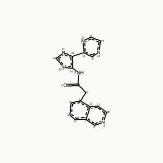 O=C(Cc1cccc2cnccc12)Nc1scnc1-c1cnccn1